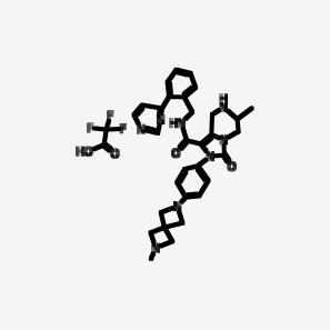 CC1Cn2c(c(C(=O)NCc3ccccc3-c3ccncn3)n(-c3ccc(N4CC5(CN(C)C5)C4)cc3)c2=O)CN1.O=C(O)C(F)(F)F